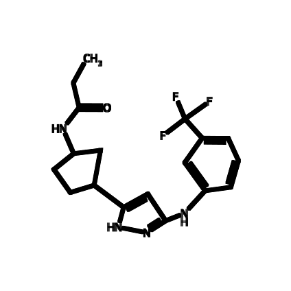 CCC(=O)NC1CCC(c2cc(Nc3cccc(C(F)(F)F)c3)n[nH]2)C1